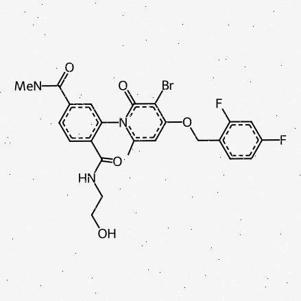 CNC(=O)c1ccc(C(=O)NCCO)c(-n2c(C)cc(OCc3ccc(F)cc3F)c(Br)c2=O)c1